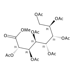 COC(=O)[C@@H](OC(C)=O)[C@H](OC(C)=O)[C@@H](OC(C)=O)[C@@H](OC(C)=O)[C@@H](OC(C)=O)[C@@H](COC(C)=O)OC(C)=O